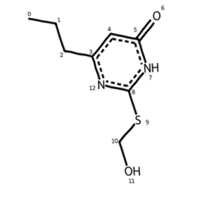 CCCc1cc(=O)[nH]c(SCO)n1